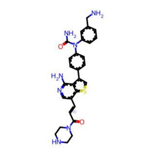 NCc1cccc(N(C(N)=O)c2ccc(-c3csc4c(/C=C/C(=O)N5CCNCC5)cnc(N)c34)cc2)c1